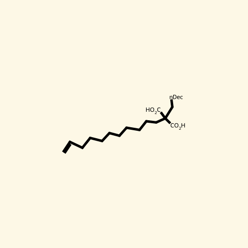 C=CCCCCCCCCCC(CCCCCCCCCCC)(C(=O)O)C(=O)O